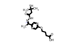 C/C(=N/NC(=O)CC(C)(C)S)c1cnc(OCCCC(=O)O)cn1